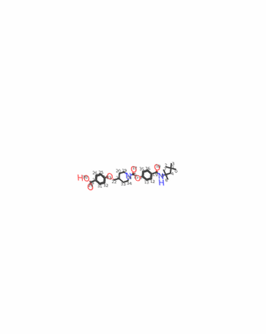 CC(C)(C)CC(C)(C)NC(=O)c1ccc(OC(=O)N2CCC(COc3ccc(C(=O)O)cc3)CC2)cc1